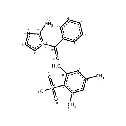 Cc1cc(C)c(S(=O)(=O)[O-])c(C)c1.Nc1[nH]cc[n+]1C(=O)c1ccccc1